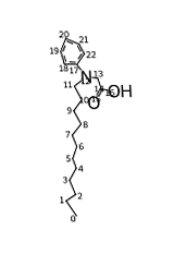 CCCCCCCCCCCCN(CC(=O)O)c1ccccc1